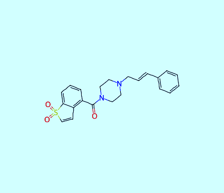 O=C(c1cccc2c1C=CS2(=O)=O)N1CCN(C/C=C/c2ccccc2)CC1